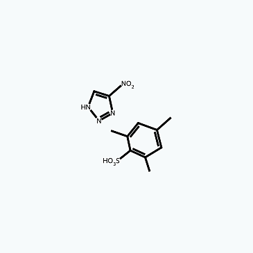 Cc1cc(C)c(S(=O)(=O)O)c(C)c1.O=[N+]([O-])c1c[nH]nn1